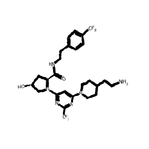 NCCC1CCN(c2cc(N3C[C@@H](O)C[C@H]3C(=O)NCCc3ccc(C(F)(F)F)cc3)nc(C(F)(F)F)n2)CC1